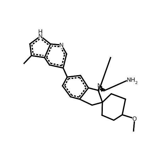 COC1CCC2(CC1)Cc1ccc(-c3cnc4[nH]cc(C)c4c3)cc1C21N=C(C)C(N)=N1